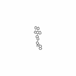 c1ccc2c(-c3c4ccccc4c(-c4ccc5cc(-c6ccc7oc8c9ccccc9ccc8c7c6)ccc5c4)c4ccccc34)cccc2c1